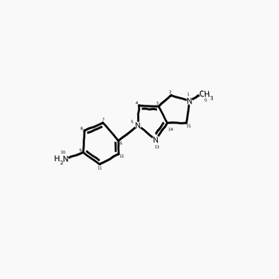 CN1Cc2cn(-c3ccc(N)cc3)nc2C1